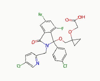 O=C(O)COC1(COC2(c3ccc(Cl)cc3)c3c(F)cc(Br)cc3C(=O)N2Cc2ccc(Cl)cn2)CC1